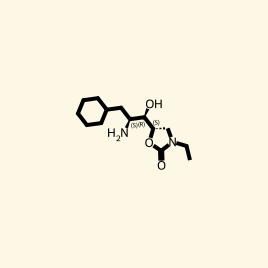 CCN1C[C@@H]([C@H](O)[C@@H](N)CC2CCCCC2)OC1=O